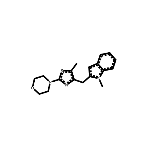 Cc1sc(N2CCOCC2)nc1Cc1cc2ccccc2n1C